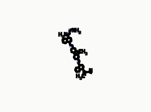 CN1C(C2=NC2)C1c1ccc(/C=C/C2=Cc3c(c4c(n3C)C=C(/C=C/C3=CC=C(/C(N)=C/C=C\N)C5C=CC=CC35)CC4)CC2)c2ccccc12